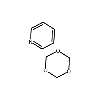 C1OCOCO1.c1ccncc1